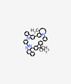 C=C1/C=C\C=C/CN(c2ccccc2)c2ccc(-c3ccc4c(c3)c3ccccc3n4-c3cccc(-c4nc(-c5ccc6c(c5)-c5ccccc5C6(C)C)c5c(ccc6ccccc65)n4)c3)cc21